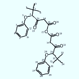 CC(C)(C)C(Oc1ccccc1)C(=O)CC(=O)OC(=O)CC(=O)C(Oc1ccccc1)C(C)(C)C